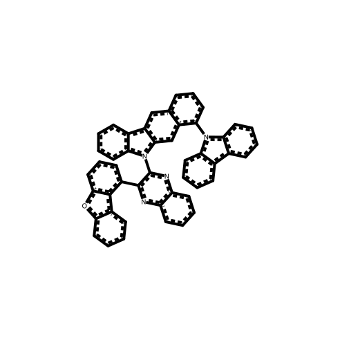 c1cc(-n2c3ccccc3c3ccccc32)c2cc3c(cc2c1)c1ccccc1n3-c1nc2ccccc2nc1-c1cccc2oc3ccccc3c12